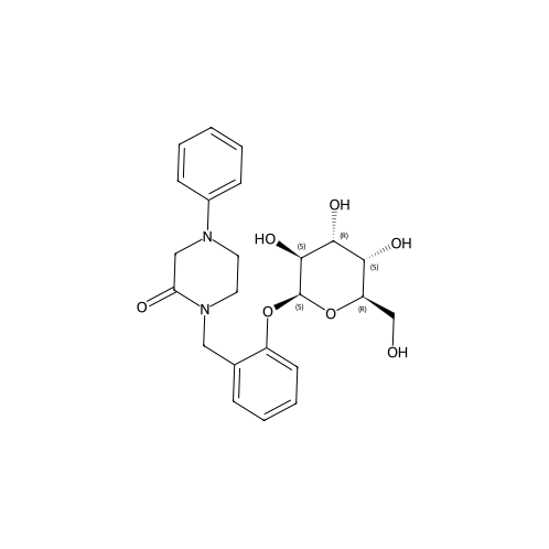 O=C1CN(c2ccccc2)CCN1Cc1ccccc1O[C@@H]1O[C@H](CO)[C@@H](O)[C@@H](O)[C@@H]1O